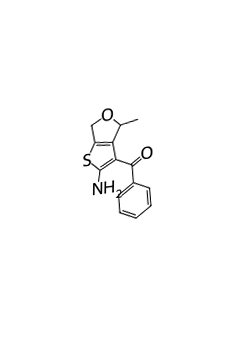 CC1OCc2sc(N)c(C(=O)c3ccccc3)c21